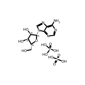 Nc1ncnc2c1ncn2[C@@H]1O[C@H](CO)[C@@H](O)[C@H]1O.O=P(O)(O)O.O=S(=O)(O)O